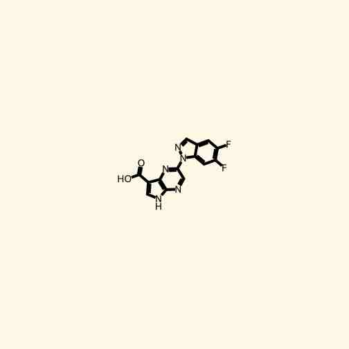 O=C(O)c1c[nH]c2ncc(-n3ncc4cc(F)c(F)cc43)nc12